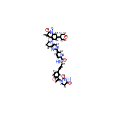 Cc1cc2c(N3CCCc4nc(-c5ccc(C(=O)NCC#Cc6ccc7occ(N8CCC(=O)NC8=O)c7c6)nc5)ncc43)cc(C3CCOCC3)cc2n(C)c1=O